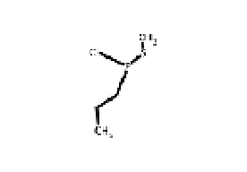 CCCP(Cl)SC